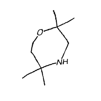 CC1(C)COC(C)(C)CN1